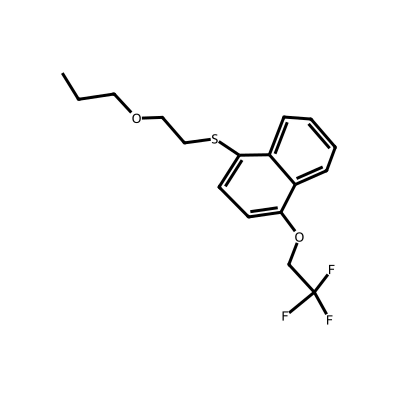 CCCOCCSc1ccc(OCC(F)(F)F)c2ccccc12